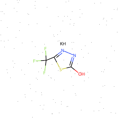 Oc1nnc(C(F)(F)F)s1.[KH]